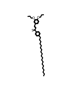 CCCCCCCCCCCCCCCCCCCCc1ccc(C(=S)C=Cc2ccc(OCCC)c(OCCC)c2)cc1